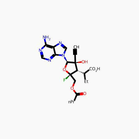 C#C[C@@]1(O)[C@H](n2cnc3c(N)ncnc32)O[C@@](F)(COC(=O)CCC)[C@H]1C(CC)C(=O)O